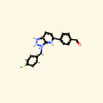 O=Cc1ccc(-c2ccc3nnn(Cc4ccc(F)cc4)c3n2)cc1